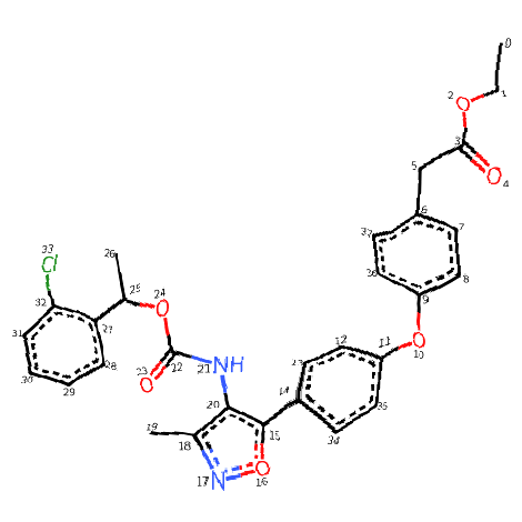 CCOC(=O)Cc1ccc(Oc2ccc(-c3onc(C)c3NC(=O)OC(C)c3ccccc3Cl)cc2)cc1